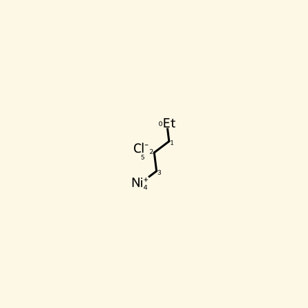 CCCC[CH2][Ni+].[Cl-]